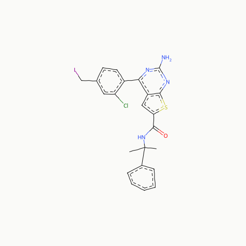 CC(C)(NC(=O)c1cc2c(-c3ccc(CI)cc3Cl)nc(N)nc2s1)c1ccccc1